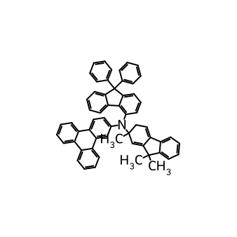 CC1(C)C2=CC(C)(N(c3ccc4c5ccccc5c5ccccc5c4c3)c3cccc4c3-c3ccccc3C4(c3ccccc3)c3ccccc3)CC=C2c2ccccc21